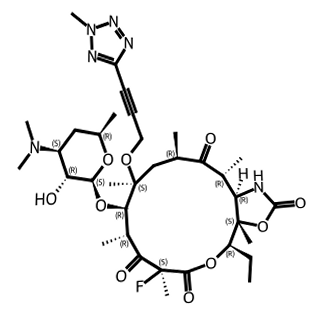 CC[C@H]1OC(=O)[C@@](C)(F)C(=O)[C@H](C)[C@@H](O[C@@H]2O[C@H](C)C[C@H](N(C)C)[C@H]2O)[C@@](C)(OCC#Cc2nnn(C)n2)C[C@@H](C)C(=O)[C@H](C)[C@H]2NC(=O)O[C@@]21C